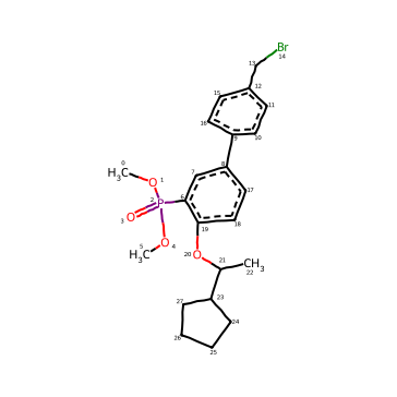 COP(=O)(OC)c1cc(-c2ccc(CBr)cc2)ccc1OC(C)C1CCCC1